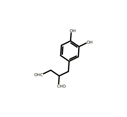 O=CCC(C=O)Cc1ccc(O)c(O)c1